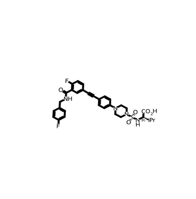 CC(C)[C@@H](NS(=O)(=O)N1CCN(c2ccc(C#Cc3ccc(F)c(C(=O)NCc4ccc(F)cc4)c3)cc2)CC1)C(=O)O